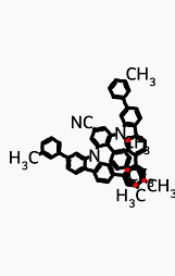 Cc1cccc(-c2ccc3c4ccc(-c5cccc(C)c5)cc4n(-c4cc(C#N)cc(-n5c6cc(-c7cccc(C)c7)ccc6c6ccc(-c7cccc(C)c7)cc65)c4-c4ccc(C(F)(F)F)cc4C(F)(F)F)c3c2)c1